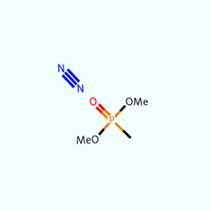 COP(C)(=O)OC.N#N